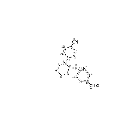 N#Cc1ccc(N2CCCCC2Sc2ccc(C=O)cn2)cc1